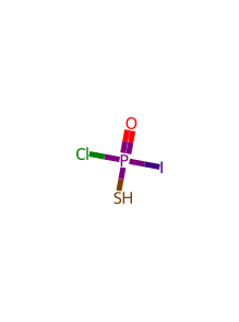 O=P(S)(Cl)I